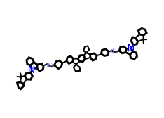 CC1(C)c2ccccc2-c2ccc(-n3c4ccccc4c4cc(/C=C/c5ccc(-c6ccc7c(c6)C6(CCCC6)c6cc8c(cc6-7)C6(CCCC6)c6cc(-c7ccc(/C=C/c9ccc%10c(c9)c9ccccc9n%10-c9ccc%10c(c9)C(C)(C)c9ccccc9-%10)cc7)ccc6-8)cc5)ccc43)cc21